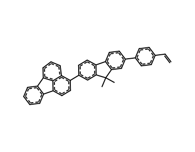 C=Cc1ccc(-c2ccc3c(c2)C(C)(C)c2cc(-c4ccc5c6c(cccc46)-c4ccccc4-5)ccc2-3)cc1